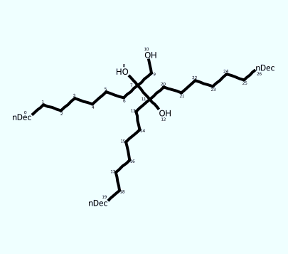 CCCCCCCCCCCCCCCCC(O)(CO)C(O)(CCCCCCCCCCCCCCCC)CCCCCCCCCCCCCCCC